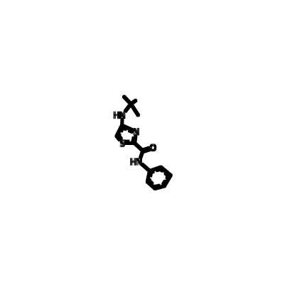 CC(C)(C)Nc1csc(C(=O)Nc2ccccc2)n1